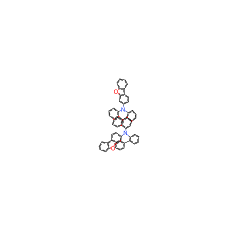 c1ccc(-c2ccccc2N(c2cccc(-c3ccccc3N(c3ccc4c(c3)oc3ccccc34)c3ccccc3-c3ccccc3)c2)c2ccc3c(c2)oc2ccccc23)cc1